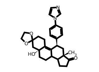 C[C@]12C[C@H](c3ccc(-n4ccnc4)cc3)C3=C4CCC5(C[C@]4(O)CCC3C1CCC2=O)OCCO5